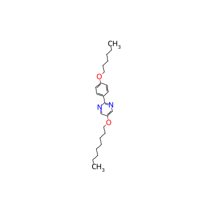 CCCCCCCCOc1cnc(-c2ccc(OCCCCCC)cc2)nc1